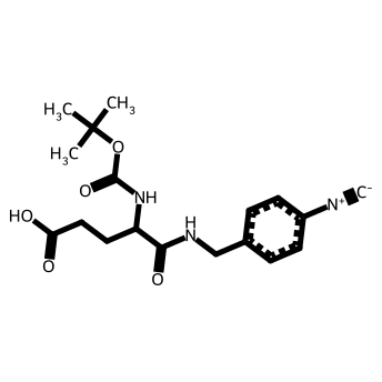 [C-]#[N+]c1ccc(CNC(=O)C(CCC(=O)O)NC(=O)OC(C)(C)C)cc1